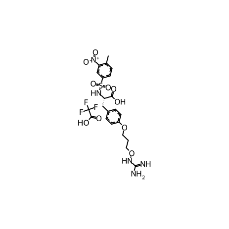 Cc1ccc(S(=O)(=O)N[C@@H](Cc2ccc(OCCCONC(=N)N)cc2)C(=O)O)cc1[N+](=O)[O-].O=C(O)C(F)(F)F